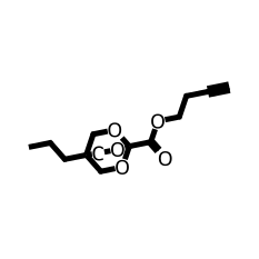 C#CCCOC(=O)C12OCC(CCC)(CO1)CO2